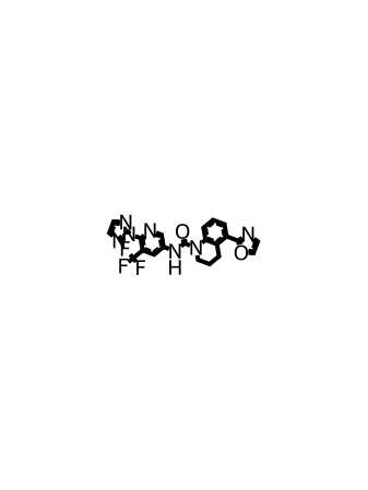 O=C(Nc1cnc(-n2nccn2)c(C(F)(F)F)c1)N1CCCc2c(-c3ncco3)cccc21